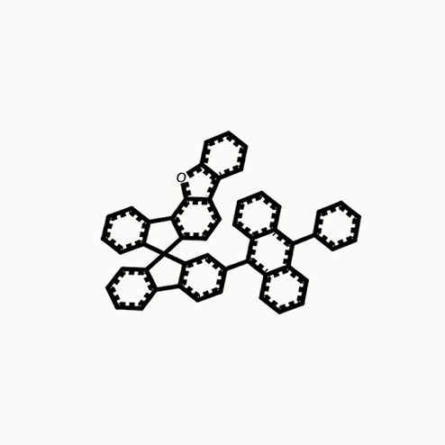 c1ccc(-c2c3ccccc3c(-c3ccc4c(c3)C3(c5ccccc5-4)c4ccccc4-c4c3ccc3c4oc4ccccc43)c3ccccc23)cc1